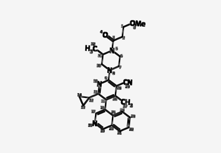 COCCC(=O)N1CCN(c2nc(C3CC3)c(-c3cncc4ccccc34)c(C)c2C#N)CC1C